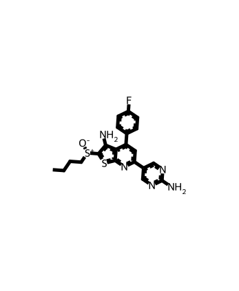 CCCC[S+]([O-])c1sc2nc(-c3cnc(N)nc3)cc(-c3ccc(F)cc3)c2c1N